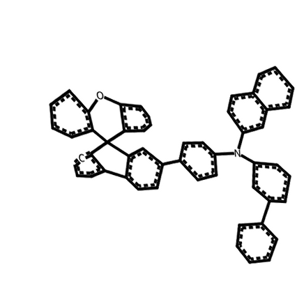 c1ccc(-c2cccc(N(c3ccc(-c4ccc5c(c4)C4(c6ccccc6Oc6ccccc64)c4ccccc4-5)cc3)c3ccc4ccccc4c3)c2)cc1